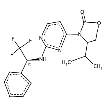 CC(C)C1COC(=O)N1c1ccnc(N[C@@H](c2ccccc2)C(F)(F)F)n1